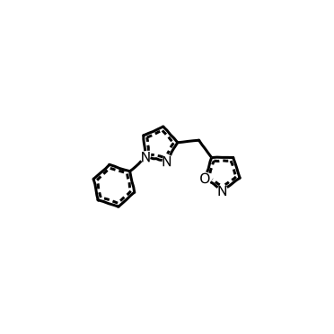 c1ccc(-n2ccc(Cc3ccno3)n2)cc1